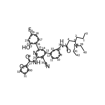 CCCC(CC(=O)Nc1cccc(-c2cc(-c3ccc(F)cc3O)nc(NC(=O)c3ccco3)c2C#N)c1)N(CC)CC